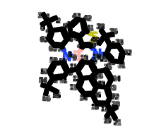 CC(C)(C)c1ccc(N2B3c4c(c5ccc6cc(C(C)(C)C)cc7ccc(c4N(c4ccccc4C(C)(C)C)c4sc8ccccc8c43)c5c67)-c3cc(C(C)(C)C)ccc32)cc1